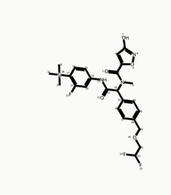 CN(C(=O)c1cc(O)no1)C(C(=O)Nc1ccc([Si](C)(C)C)c(F)c1)c1ccc(COCC(F)F)cc1